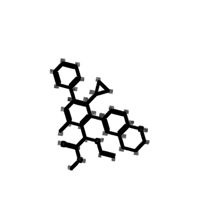 C=COC(C(=O)OC)c1c(C)cc(-c2ccccc2)c(C2CC2)c1-c1ccc2c(c1)CCCO2